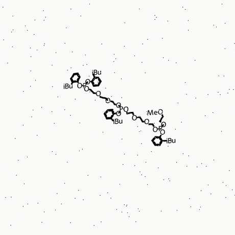 CCC(C)c1ccccc1OP(OCCOC)OCCOCCOCCOP(OCCOCCOCCOP(Oc1ccccc1C(C)CC)Oc1ccccc1C(C)CC)Oc1ccccc1C(C)CC